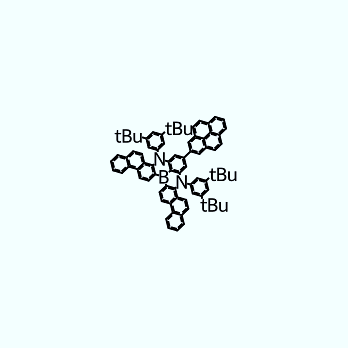 CC(C)(C)c1cc(N2c3cc(-c4cc5ccc6cccc7ccc(c4)c5c67)cc4c3B(c3ccc5c(ccc6ccccc65)c32)c2ccc3c(ccc5ccccc53)c2N4c2cc(C(C)(C)C)cc(C(C)(C)C)c2)cc(C(C)(C)C)c1